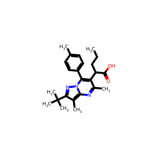 CCCC(C(=O)O)c1c(C)nc2c(C)c(C(C)(C)C)nn2c1-c1ccc(C)cc1